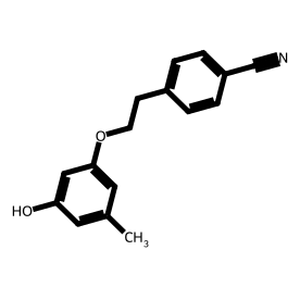 Cc1cc(O)cc(OCCc2ccc(C#N)cc2)c1